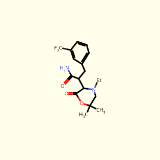 CCN1CC(C)(C)OC(=O)C1C(Cc1cccc(C(F)(F)F)c1)C(N)=O